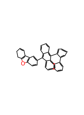 C1=Cc2c(oc3ccc(-c4c5ccccc5c(-c5ccccc5-c5ccccc5)c5ccccc45)cc23)CC1